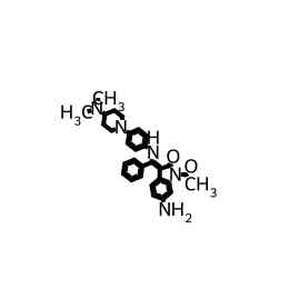 CC(=O)N1C(=O)/C(=C(\Nc2ccc(N3CCC(N(C)C)CC3)cc2)c2ccccc2)c2ccc(N)cc21